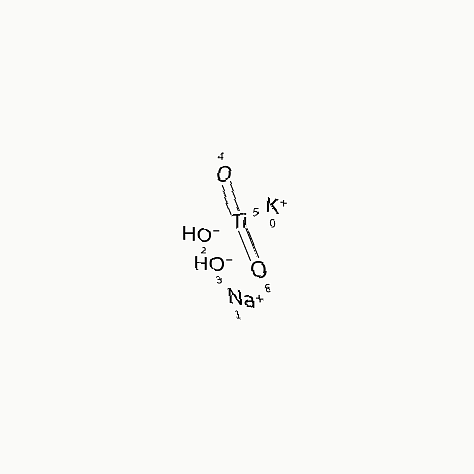 [K+].[Na+].[OH-].[OH-].[O]=[Ti]=[O]